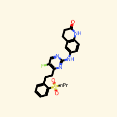 CCCS(=O)(=O)c1ccccc1CCc1nc(Nc2ccc3c(c2)CCC(=O)N3)ncc1F